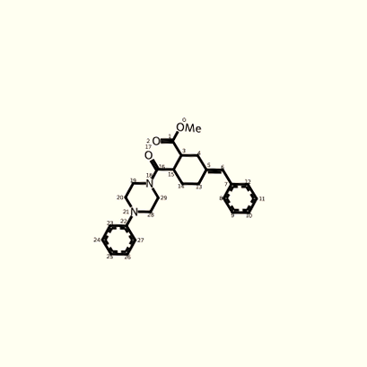 COC(=O)C1CC(=Cc2ccccc2)CCC1C(=O)N1CCN(c2ccccc2)CC1